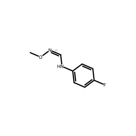 CO/N=[C]\Nc1ccc(F)cc1